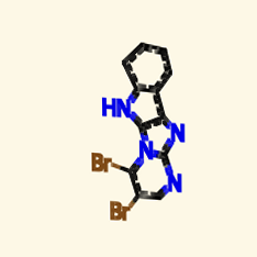 Brc1cnc2nc3c4ccccc4[nH]c3n2c1Br